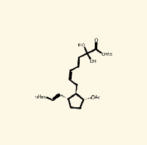 CCCCCC/C=C/[C@H]1CC[C@@H](OC(C)=O)[C@@H]1C/C=C\CCC(O)(O)C(=O)OC